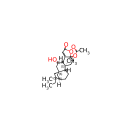 CC[C@@]1(C)C[C@]23C[C@H]1CC[C@H]2[C@]1(C)CC[C@@]2(OC(C)=O)OC(=O)C=C2[C@H]1[C@H](O)C3